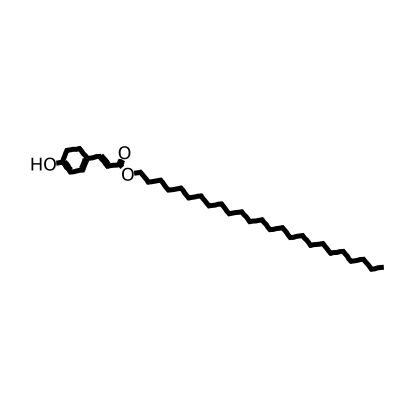 CCCCCCCCCCCCCCCCCCCCCCCCCOC(=O)C=CC1=CC=C(O)CC1